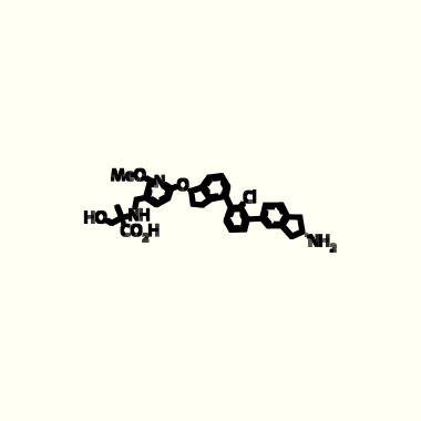 COc1nc(O[C@H]2CCc3c(-c4cccc(-c5ccc6c(c5)C[C@@H](N)C6)c4Cl)cccc32)ccc1CN[C@@](C)(CO)C(=O)O